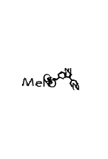 CNS(=O)(=O)C=Cc1ccc2c(c1)c(C1CCN(C)CC1)cn2C